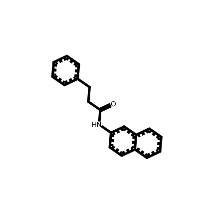 O=C(CCc1ccccc1)Nc1ccc2ccccc2c1